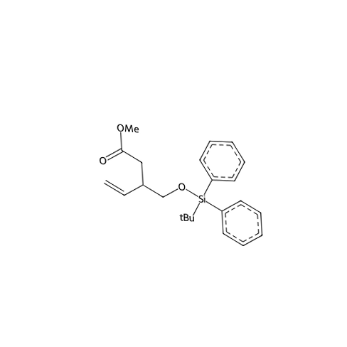 C=CC(CO[Si](c1ccccc1)(c1ccccc1)C(C)(C)C)CC(=O)OC